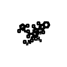 C[C@@]1(CO[N+](=O)[O-])S[C@H]2C(N3C(=O)C4CCCCC4C3=O)C(=O)N2C1C(=O)OCN1C(=O)CCC1=O